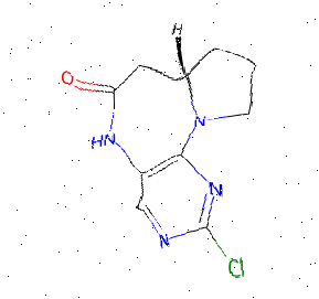 O=C1C[C@@H]2CCCN2c2nc(Cl)ncc2N1